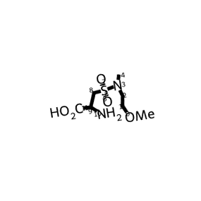 COCCN(C)S(=O)(=O)CC(N)C(=O)O